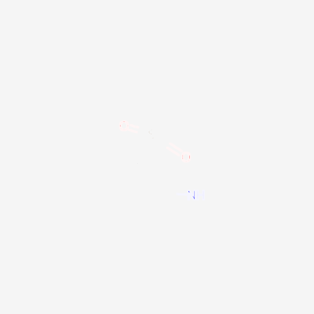 CC(C[NH])S(C)(=O)=O